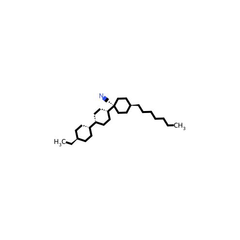 CCCCCCC[C@H]1CC[C@@](C#N)([C@H]2CC[C@@H]([C@H]3CC[C@H](CC)CC3)CC2)CC1